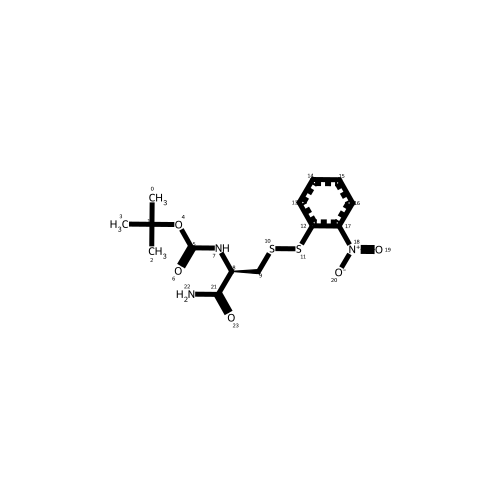 CC(C)(C)OC(=O)N[C@@H](CSSc1ccccc1[N+](=O)[O-])C(N)=O